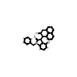 O=C1Cc2cccc3cccc(c23)C1C1C(=O)N(Cc2ccccc2)c2cccc(Cl)c21